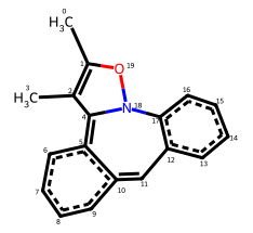 CC1=C(C)C2=c3ccccc3=Cc3ccccc3N2O1